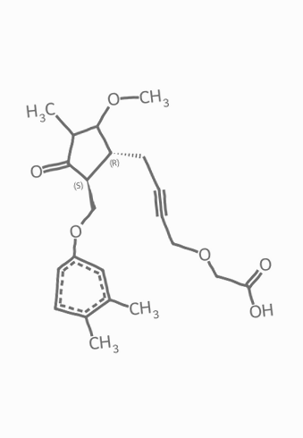 COC1C(C)C(=O)[C@H](COc2ccc(C)c(C)c2)[C@H]1CC#CCOCC(=O)O